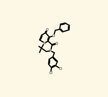 CC1(C)CN(Cc2ccc(Cl)c(Cl)c2)C(=O)c2c(OCc3ccccc3)c(=O)ccn21